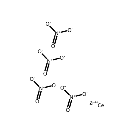 O=[N+]([O-])[O-].O=[N+]([O-])[O-].O=[N+]([O-])[O-].O=[N+]([O-])[O-].[Ce].[Zr+4]